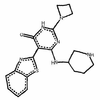 O=c1[nH]c(N2CCC2)nc(NC2CCCNC2)c1-c1nc2ccccc2s1